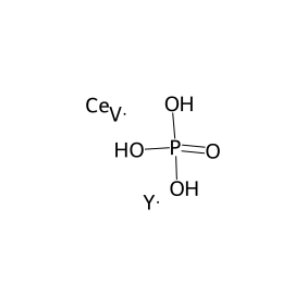 O=P(O)(O)O.[Ce].[V].[Y]